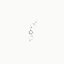 CC1(O)CCC(O)(c2ccc(C=C3CCN(C4CCC4)CC3)cc2)CC1